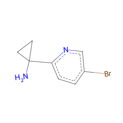 NC1(c2ccc(Br)cn2)CC1